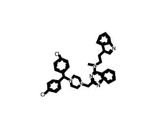 CN(CCC1C=Nc2ccccc21)c1nc(CN2CCN(C(c3ccc(Cl)cc3)c3ccc(Cl)cc3)CC2)nc2ccccc12